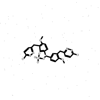 COc1ccc([I+](O[Cl+3]([O-])([O-])[O-])c2ccc(OC)c(Cc3ccc(Cl)nn3)c2)cc1Cc1ccc(Cl)nn1